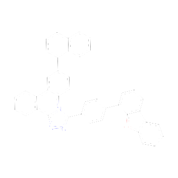 c1ccc2c(-c3ccc4c(c3)c3ccccc3c3nnc(-c5ccc(-c6cccc7c6oc6ccccc67)cc5)n43)cccc2c1